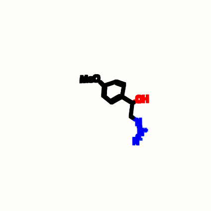 COc1ccc(C(O)CN=[N+]=[N-])cc1